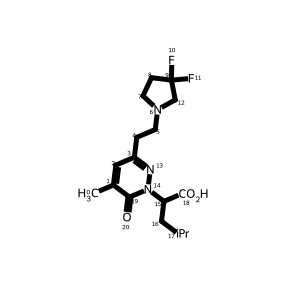 Cc1cc(CCN2CCC(F)(F)C2)nn(C(CC(C)C)C(=O)O)c1=O